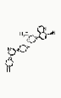 C[C@@H]1CN(c2ccc(C#N)c3ncccc23)C[C@H](CN2CCN(c3cncc(N4CCNCC4)c3)CC2)O1